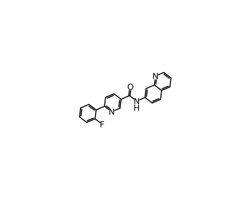 O=C(Nc1ccc2cccnc2c1)c1ccc(-c2ccccc2F)nc1